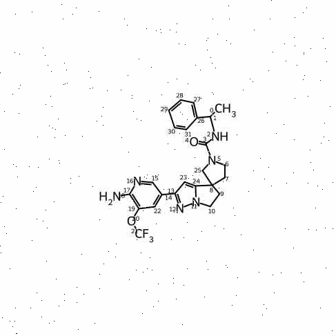 CC(NC(=O)N1CCC2(CCn3nc(-c4cnc(N)c(OC(F)(F)F)c4)cc32)C1)c1ccccc1